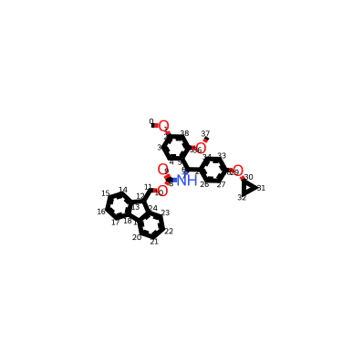 COc1ccc(C(NC(=O)OCC2c3ccccc3-c3ccccc32)c2ccc(OC3CC3)cc2)c(OC)c1